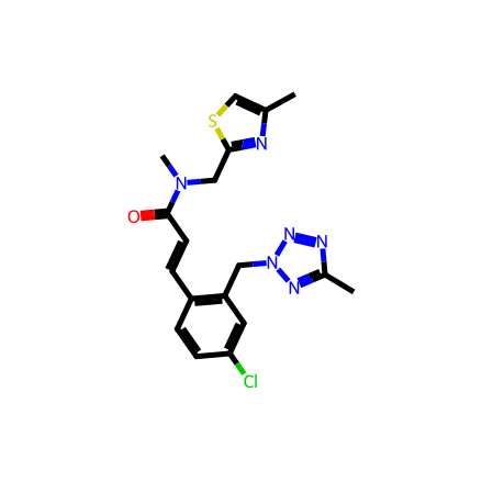 Cc1csc(CN(C)C(=O)C=Cc2ccc(Cl)cc2Cn2nnc(C)n2)n1